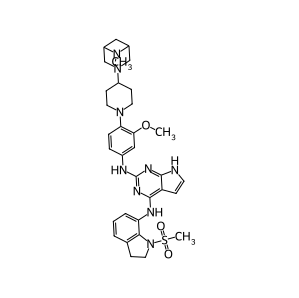 COc1cc(Nc2nc(Nc3cccc4c3N(S(C)(=O)=O)CC4)c3cc[nH]c3n2)ccc1N1CCC(N2CC3CC(C2)N3C)CC1